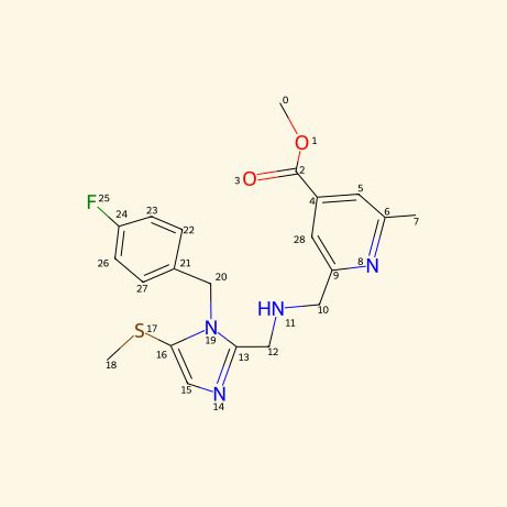 COC(=O)c1cc(C)nc(CNCc2ncc(SC)n2Cc2ccc(F)cc2)c1